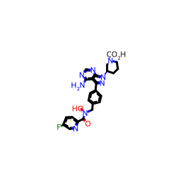 Nc1ncnc2c1c(-c1ccc(CN(O)C(=O)c3ccc(F)cn3)cc1)nn2[C@@H]1CCCN(C(=O)O)C1